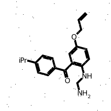 C=CCOc1ccc(NCN)c(C(=O)c2ccc(C(C)C)cc2)c1